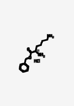 Cl.NCCCC[C@@H](N)C(=O)OCc1ccccc1